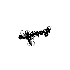 CCN(CCO)CC[C@@H](CSc1ccccc1)Nc1ccc(S(=O)(=O)NC(=O)c2ccc(N3CCC([C@@H](O)c4ccccc4-c4ccc(Cl)cc4)CC3)cc2)cc1S(=O)(=O)C(F)(F)F